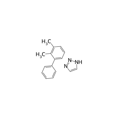 Cc1cccc(-c2ccccc2)c1C.c1c[nH]nn1